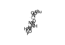 C[C@H]1C[C@H](Oc2cncc(Nc3cc(OC(F)F)[nH]n3)n2)CCN(C(=O)OC(C)(C)C)C1